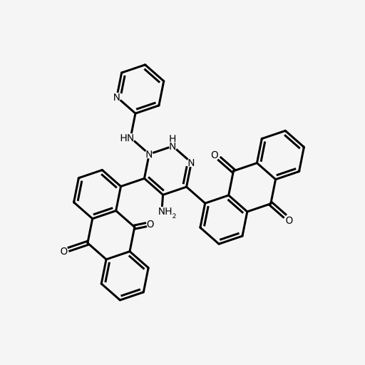 NC1=C(c2cccc3c2C(=O)c2ccccc2C3=O)N(Nc2ccccn2)NN=C1c1cccc2c1C(=O)c1ccccc1C2=O